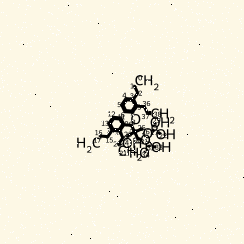 C=CCc1cccc(OC(c2cccc(CC=C)c2CC=C)C(CO)(COP(O)O)COP(O)O)c1CC=C